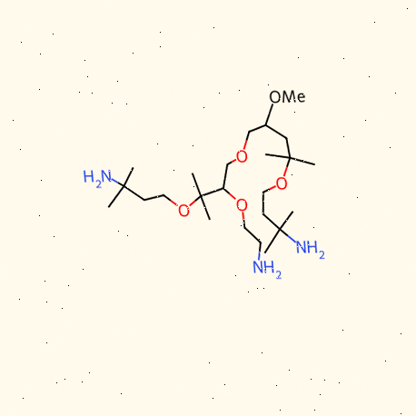 COC(COCC(OCCN)C(C)(C)OCCC(C)(C)N)CC(C)(C)OCCC(C)(C)N